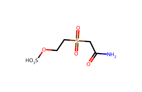 NC(=O)CS(=O)(=O)CCOS(=O)(=O)O